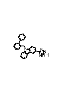 c1ccc(-c2ccccc2Cn2c3ccccc3c3cc(-c4nn[nH]n4)ccc32)cc1